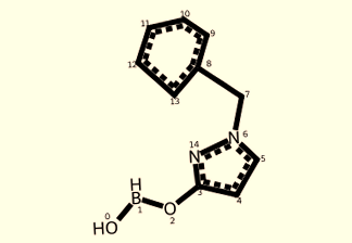 OBOc1ccn(Cc2ccccc2)n1